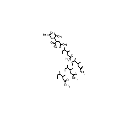 CCC(C)C(C)CC(N)=O.CCC(C)C(C)CC(N)=O.CCC(C)C(C)CC(N)=O.CCC(C)C(C)CC(N)=O.O=C(O)CC(C(=O)O)C(CC(=O)O)C(=O)O